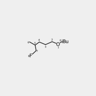 CCC(C)OCCCC(C)CF